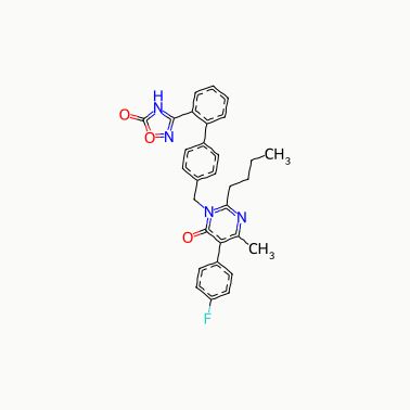 CCCCc1nc(C)c(-c2ccc(F)cc2)c(=O)n1Cc1ccc(-c2ccccc2-c2noc(=O)[nH]2)cc1